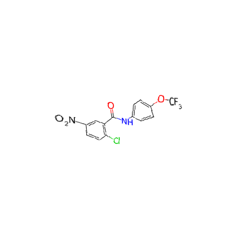 O=C(Nc1ccc(OC(F)(F)F)cc1)c1cc([N+](=O)[O-])ccc1Cl